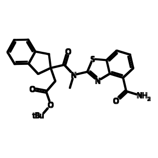 CN(C(=O)C1(CC(=O)OC(C)(C)C)Cc2ccccc2C1)c1nc2c(C(N)=O)cccc2s1